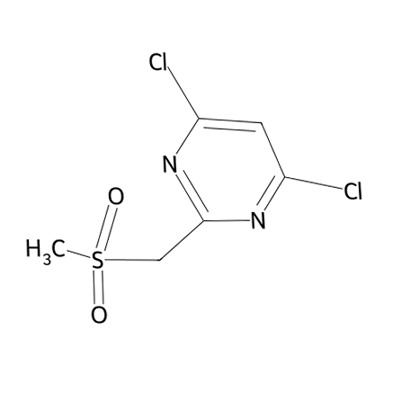 CS(=O)(=O)Cc1nc(Cl)cc(Cl)n1